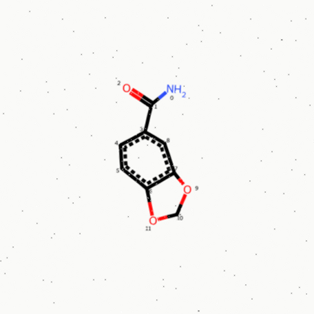 NC(=O)c1ccc2c(c1)O[CH]O2